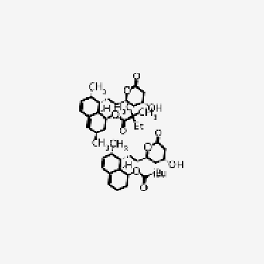 CCC(C)(C)C(=O)O[C@H]1C[C@@H](C)C=C2C=C[C@H](C)[C@H](CC[C@@H]3C[C@@H](O)CC(=O)O3)[C@H]21.CC[C@H](C)C(=O)O[C@H]1CCC=C2C=C[C@H](C)[C@H](CC[C@@H]3C[C@@H](O)CC(=O)O3)[C@H]21